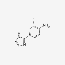 Nc1ccc(-c2ncc[nH]2)cc1F